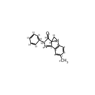 Cc1ccc2c(c1)C1=NN(c3ccccc3)C(=O)C13CN23